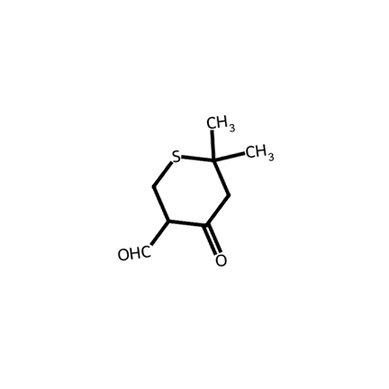 CC1(C)CC(=O)C(C=O)CS1